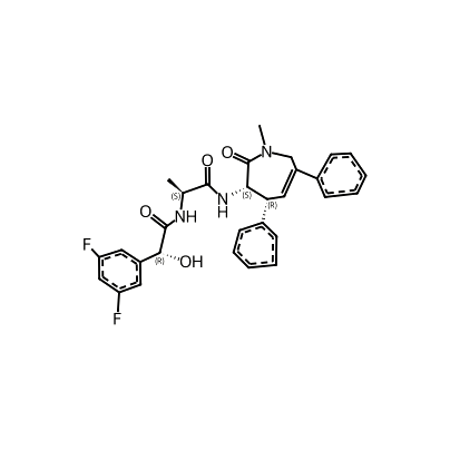 C[C@H](NC(=O)[C@H](O)c1cc(F)cc(F)c1)C(=O)N[C@@H]1C(=O)N(C)CC(c2ccccc2)=C[C@@H]1c1ccccc1